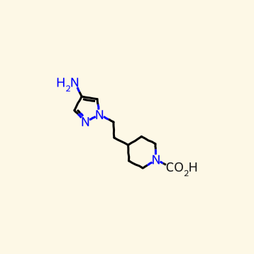 Nc1cnn(CCC2CCN(C(=O)O)CC2)c1